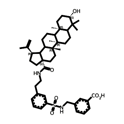 C=C(C)[C@@H]1CC[C@]2(C(=O)NCCc3cccc(S(=O)(=O)NCc4cccc(C(=O)O)c4)c3)CC[C@]3(C)C(CCC4[C@@]5(C)CC[C@H](O)C(C)(C)C5CC[C@]43C)C12